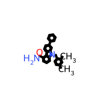 Cc1ccc(Cn2c3cc(-c4ccccc4)c[c]c3c3c(C(N)=O)cccc32)c(C)c1